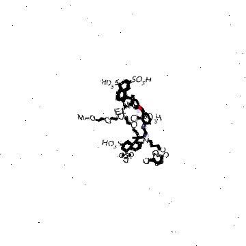 CC[N+]1=C(/C=C/C2=C(Cl)C(=C/C=C3/N(CCCC(=O)ON4C(=O)CCC4=O)c4ccc5c(S(=O)(=O)[O-])cc(S(=O)(=O)O)cc5c4C3(C)CCOCCOCCOCCOC)/CCC2)C(C)(CCCS(=O)(=O)O)c2c1ccc1c(S(=O)(=O)O)cc(S(=O)(=O)O)cc21